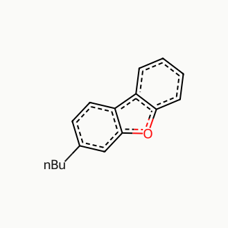 CCCCc1ccc2c(c1)oc1ccccc12